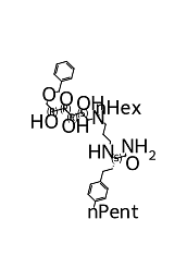 CCCCCCN(CCCN[C@@H](CCc1ccc(CCCCC)cc1)C(N)=O)C[C@H](O)[C@@H](O)[C@@H]1OC(c2ccccc2)OC[C@H]1O